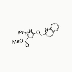 COC(=O)c1cc(OCc2ccc3ccccc3n2)nn1C(C)C